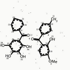 COc1ccc(C(=O)c2ccc(C)cc2)c(O)c1.O=C(c1ccccc1)c1cc(O)c(O)c(O)c1O